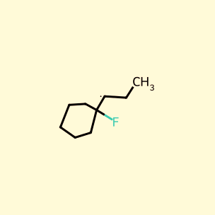 CC[CH]C1(F)CCCCC1